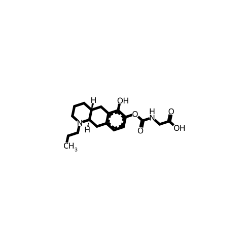 CCCN1CCC[C@@H]2Cc3c(ccc(OC(=O)NCC(=O)O)c3O)C[C@H]21